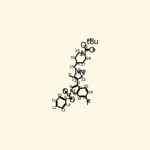 Cc1c(-c2cn(S(=O)(=O)c3ccccc3)c3cc(F)ccc23)cnn1CC1CCN(C(=O)OC(C)(C)C)CC1